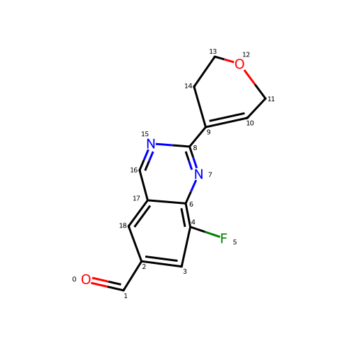 O=Cc1cc(F)c2nc(C3=CCOCC3)ncc2c1